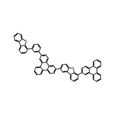 c1cc(-c2ccc3c(c2)c2ccccc2c2ccc(-c4ccc5sc6c(-c7ccc8c9ccccc9c9ccccc9c8c7)cccc6c5c4)cc23)cc(-c2cccc3c2sc2ccccc23)c1